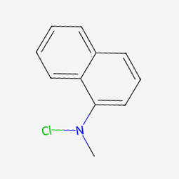 CN(Cl)c1cccc2ccccc12